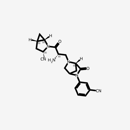 N#Cc1cccc(N2C(=O)[C@@H]3CC2CN3C[C@H](N)C(=O)N2[C@H](C#N)C[C@@H]3C[C@@H]32)c1